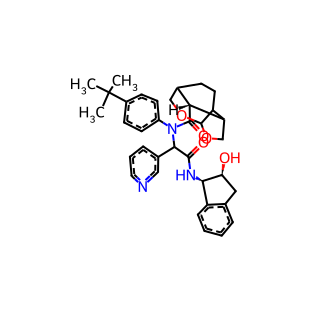 CC(C)(C)c1ccc(N(C(=O)[C@@H]2C3CCC4C(OC3)OCC42)C(C(=O)N[C@@H]2c3ccccc3C[C@@H]2O)c2cccnc2)cc1